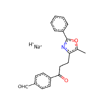 Cc1oc(-c2ccccc2)nc1CCC(=O)c1ccc(C=O)cc1.[H-].[Na+]